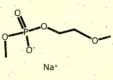 COCCOP(=O)([O-])OC.[Na+]